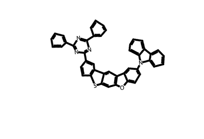 c1ccc(-c2nc(-c3ccccc3)nc(-c3ccc4sc5cc6oc7ccc(-n8c9ccccc9c9ccccc98)cc7c6cc5c4c3)n2)cc1